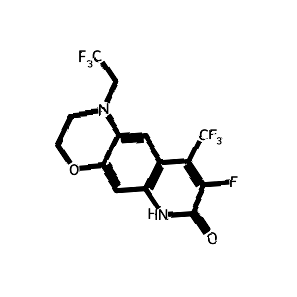 O=c1[nH]c2cc3c(cc2c(C(F)(F)F)c1F)N(CC(F)(F)F)CCO3